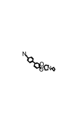 N#Cc1ccc(-c2ccc3c(c2)OC2(CCN(C4CCC4)CC2)O3)cc1